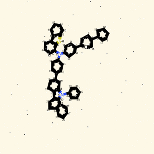 c1ccc(-c2ccc(-c3ccc(N(c4ccc(-c5ccc6c7ccc8ccccc8c7n(-c7ccccc7)c6c5)cc4)c4cccc5c4sc4ccccc45)cc3)cc2)cc1